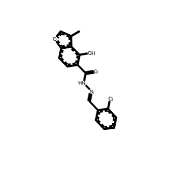 Cc1coc2ccc(C(=O)N/N=C/c3ccccc3Cl)c(O)c12